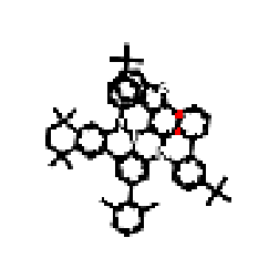 Cc1cccc(C)c1-c1cc2c3c(c1)N(c1ccc(C(C)(C)C)cc1-c1ccccc1)c1ccc4sc5ccccc5c4c1B3N(c1ccc(C(C)(C)C)cc1)c1cc3c(cc1-2)C(C)(C)CCC3(C)C